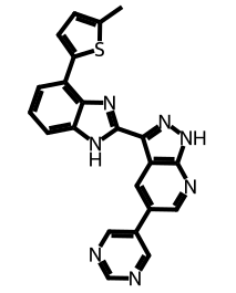 Cc1ccc(-c2cccc3[nH]c(-c4n[nH]c5ncc(-c6cncnc6)cc45)nc23)s1